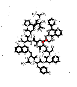 CC(=O)NC(Cc1ccc2ccccc2c1)C(=O)NC(Cc1ccc(Cl)cc1)C(=O)NC(Cc1cccnc1)C(=O)NC(CO)C(=O)NC(CCCCNC(=O)c1cccnc1)C(=O)NC(CCCCNC(=O)c1cccnc1)C(=O)NC(CC(C)C)C(=O)NC(CCCCNC(C)C)C(=O)N1CCCC1C(=O)NC(C)C(N)=O